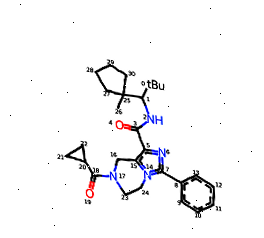 CC(C)(C)C(NC(=O)c1nc(-c2ccccc2)n2c1CN(C(=O)C1CC1)CC2)C1(C)CCCC1